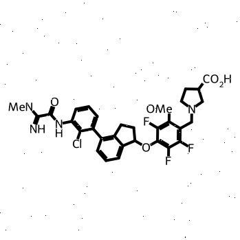 CNC(=N)C(=O)Nc1cccc(-c2cccc3c2CCC3Oc2c(F)c(F)c(CN3CCC(C(=O)O)C3)c(OC)c2F)c1Cl